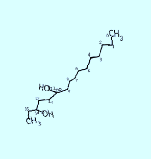 CCCCCCCCCCC(O)CCC(O)CC